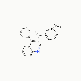 O=[N+]([O-])c1cccc(-c2cc3ccccc3c3c2cnc2ccccc23)c1